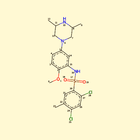 COc1ccc(N2CC(C)NC(C)C2)cc1NS(=O)(=O)c1cc(C)c(Cl)cc1Cl